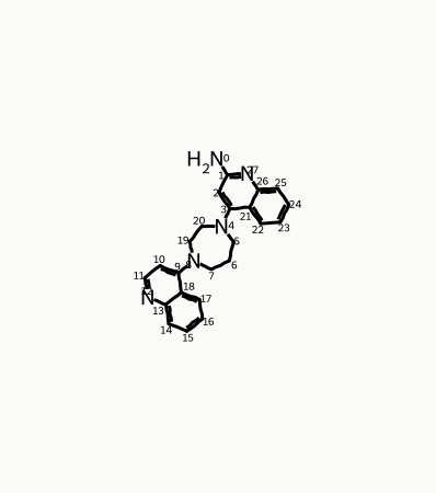 Nc1cc(N2CCCN(c3ccnc4ccccc34)CC2)c2ccccc2n1